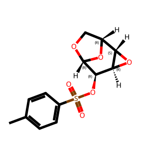 Cc1ccc(S(=O)(=O)O[C@H]2[C@@H]3OC[C@@H](O3)[C@@H]3O[C@H]32)cc1